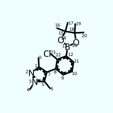 Cc1nn(C)c(C)c1-c1cccc(B2OC(C)(C)C(C)(C)O2)c1Cl